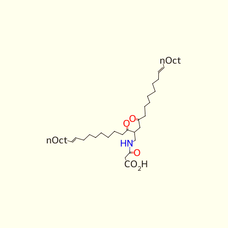 CCCCCCCCC=CCCCCCCCC(=O)CC(CNC(=O)CC(=O)O)C(=O)CCCCCCCC=CCCCCCCCC